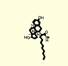 CCCCCCCCCC(C(=O)NC)[C@@H]1Cc2cc(O)ccc2[C@H]2CC[C@]3(C)[C@@H](O)CC[C@H]3[C@@H]21